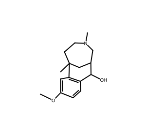 COc1ccc2c(c1)C1(C)CCN(C)CC(C1)C2O